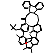 C=C1CC2C(CCc3ccc4c(oc5c4ccc4c(C)c(C)sc45)c3-c3cc(-c4c(C)cccc4C)c(CC(C)(C)C)c[n+]31)c1ccccc1-c1cccc[n+]12